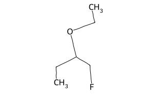 CCOC(CC)CF